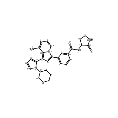 Nc1ncnn2c(-c3cccc(C(=O)NC4CCNC4=O)c3)cc(-c3ccnn3C3CCCCC3)c12